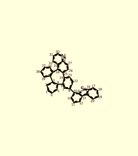 c1ccc2c(c1)-c1cc(-c3cccc4c3sc3ccccc34)ccc1-c1ccc3ncccc3c1-c1ccccc1-2